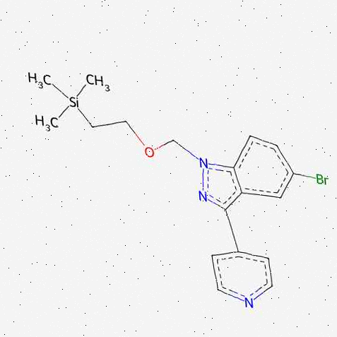 C[Si](C)(C)CCOCn1nc(-c2ccncc2)c2cc(Br)ccc21